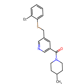 CCc1ccccc1SCc1cncc(C(=O)N2CCC(C)CC2)c1